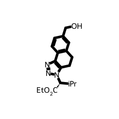 CCOC(=O)[C@@H](C(C)C)n1nnc2c1CCc1cc(CO)ccc1-2